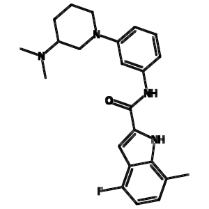 Cc1ccc(F)c2cc(C(=O)Nc3cccc(N4CCCC(N(C)C)C4)c3)[nH]c12